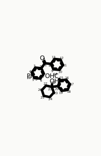 O=C(c1ccccc1)c1ccccc1.O=Cc1ccccc1C1(O)CCCCC1.P